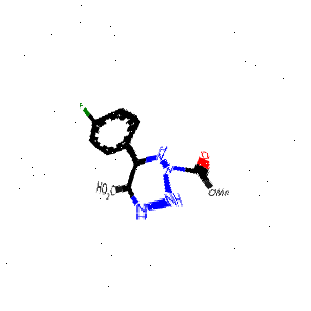 COC(=O)N1NNC(C(=O)O)C(c2ccc(F)cc2)N1